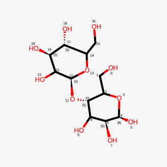 OCC1O[C@@H](O)[C@@H](O)C(O)[C@@H]1O[C@@H]1OC(CO)[C@@H](O)[C@H](O)C1O